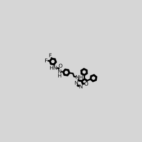 O=C(Nc1ccc(CCNc2ncnc3oc(-c4ccccc4)c(-c4ccccc4)c23)cc1)Nc1ccc(F)c(F)c1